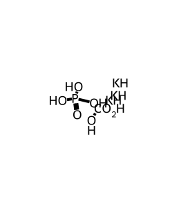 O=C(O)O.O=P(O)(O)O.[KH].[KH].[KH]